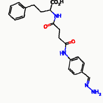 NN=Cc1ccc(NC(=O)CCC(=O)NC(CCc2ccccc2)C(=O)O)cc1